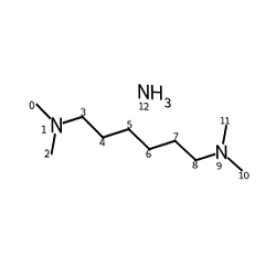 CN(C)CCCCCCN(C)C.N